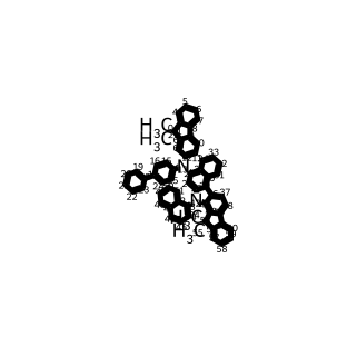 CC1(C)c2ccccc2-c2ccc(N(c3ccc(-c4ccccc4)cc3)c3cc4c(c5ccccc35)c3ccc5c(c3n4-c3cccc4ccccc34)C(C)(C)c3ccccc3-5)cc21